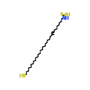 S=C(S)NCCCCCCCCCCCCCCCCCCCCCCCCCCCCCCCCS